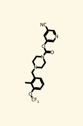 Cc1c(CN2CCN(C(=O)Oc3cncc(C#N)c3)CC2)cccc1OC(F)(F)F